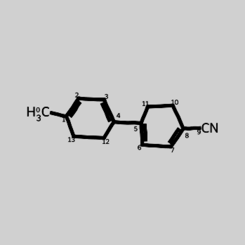 CC1=CC=C(C2=CC=C(C#N)CC2)CC1